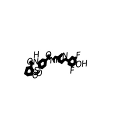 O=C(NCc1ccc(-c2cc(F)c(O)c(F)c2)nc1)c1ccc2c(c1)NC(=O)c1ccccc1S2(=O)=O